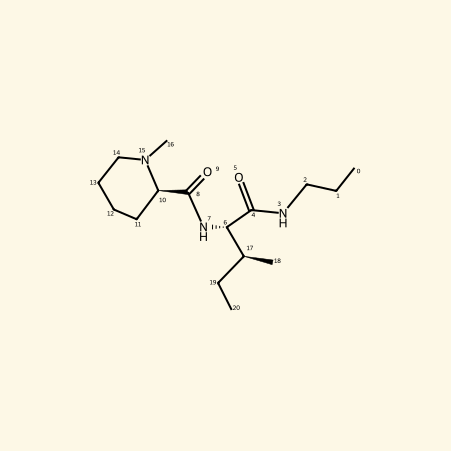 CCCNC(=O)[C@@H](NC(=O)[C@H]1CCCCN1C)[C@@H](C)CC